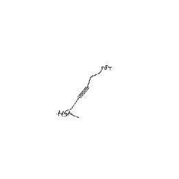 CCCCCC#C[SiH](C)C